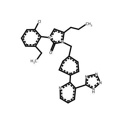 CCCc1cn(-c2c(Cl)cccc2CC)c(=O)n1Cc1ccc(-c2ncccc2-c2nnn[nH]2)cc1